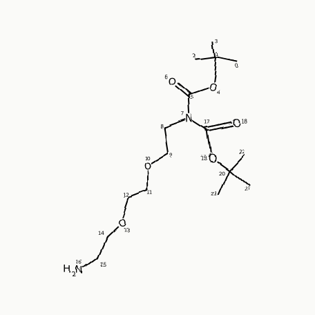 CC(C)(C)OC(=O)N(CCOCCOCCN)C(=O)OC(C)(C)C